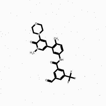 Cc1ccc(NC(=O)c2cc(C=O)cc(C(F)(F)F)c2)cc1-c1cc(N2CCOCC2)c(=O)n(C)c1